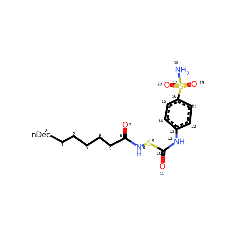 CCCCCCCCCCCCCCCC(=O)NSC(=O)Nc1ccc(S(N)(=O)=O)cc1